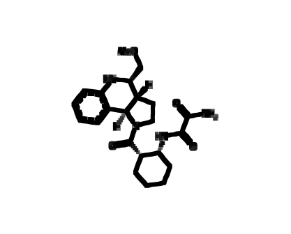 COC[C@@H]1Nc2ccccc2[C@H]2[C@H]1CCN2C(=O)[C@H]1CCCC[C@H]1NC(=O)C(N)=O